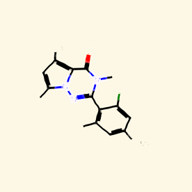 COc1cc(C)c(-c2nn3c(C)cc(C(C)C)c3c(=O)n2C)c(Cl)c1